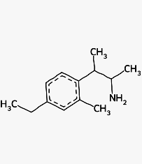 CCc1ccc(C(C)C(C)N)c(C)c1